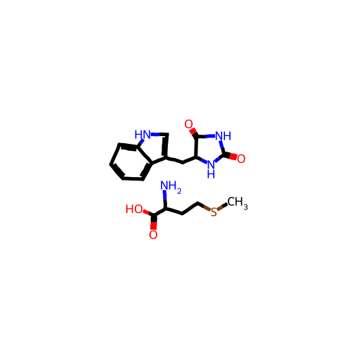 CSCCC(N)C(=O)O.O=C1NC(=O)C(Cc2c[nH]c3ccccc23)N1